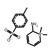 C[N+]1(C)C=CC=CC1N.Cc1ccc(S(=O)(=O)[O-])cc1